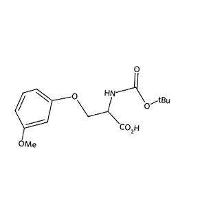 COc1cccc(OCC(NC(=O)OC(C)(C)C)C(=O)O)c1